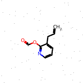 C=CCc1cccnc1O[C]=O